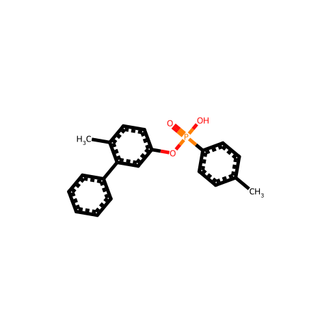 Cc1ccc(P(=O)(O)Oc2ccc(C)c(-c3ccccc3)c2)cc1